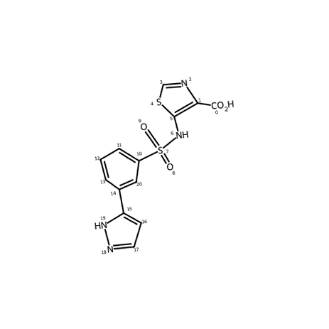 O=C(O)c1ncsc1NS(=O)(=O)c1cccc(-c2ccn[nH]2)c1